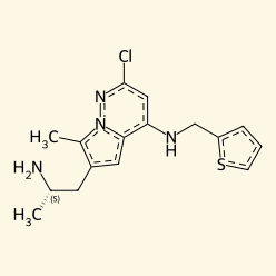 Cc1c(C[C@H](C)N)cc2c(NCc3cccs3)cc(Cl)nn12